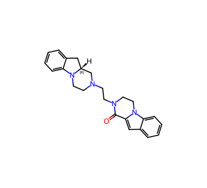 O=C1c2cc3ccccc3n2CCN1CCN1CCN2c3ccccc3C[C@@H]2C1